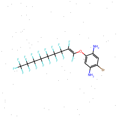 Nc1cc(OC(F)=C(F)C(F)(F)C(F)(F)C(F)(F)C(F)(F)C(F)(F)C(F)(F)C(F)(F)F)c(N)cc1Br